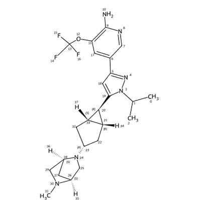 CC(C)n1nc(-c2cnc(N)c(OC(F)(F)F)c2)cc1[C@H]1[C@@H]2C[C@H](N3C[C@@H]4C[C@H]3CN4C)C[C@@H]21